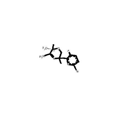 CC1(c2nc(Br)ccc2F)CO[C@@](C)(C(F)(F)F)C(N)=N1